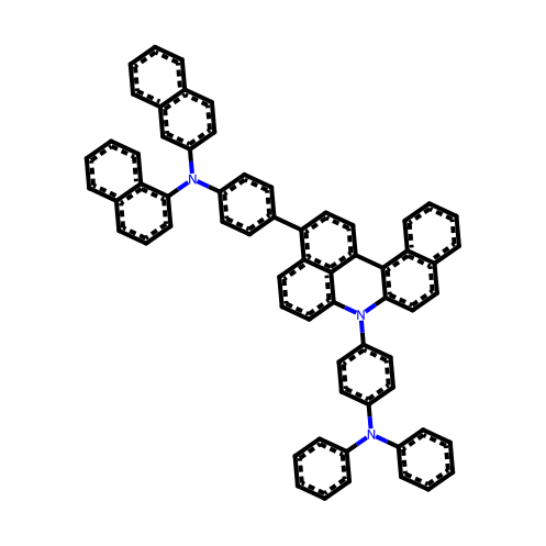 c1ccc(N(c2ccccc2)c2ccc(N3c4ccc5ccccc5c4-c4ccc(-c5ccc(N(c6ccc7ccccc7c6)c6cccc7ccccc67)cc5)c5cccc3c45)cc2)cc1